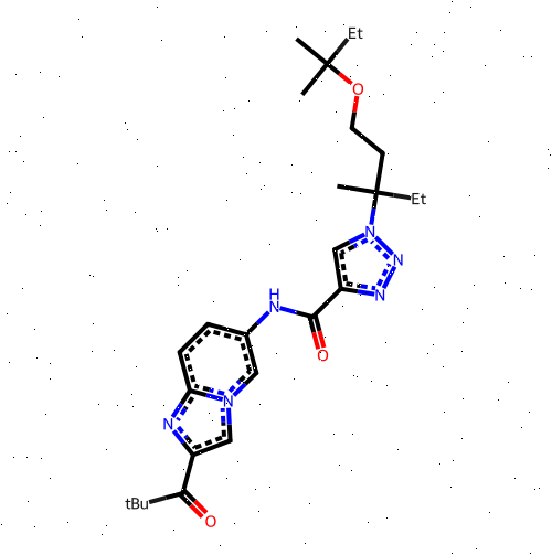 CCC(C)(C)OCCC(C)(CC)n1cc(C(=O)Nc2ccc3nc(C(=O)C(C)(C)C)cn3c2)nn1